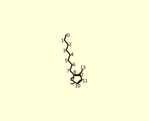 CCCCCCCCc1sccc1C